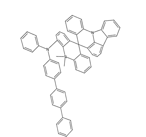 C[Si]1(C)c2ccccc2C2(c3ccccc3-n3c4ccccc4c4cccc2c43)c2cccc(N(c3ccccc3)c3ccc(-c4ccc(-c5ccccc5)cc4)cc3)c21